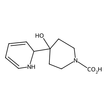 O=C(O)N1CCC(O)(C2C=CC=CN2)CC1